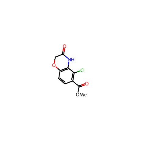 COC(=O)c1ccc2c(c1Cl)NC(=O)CO2